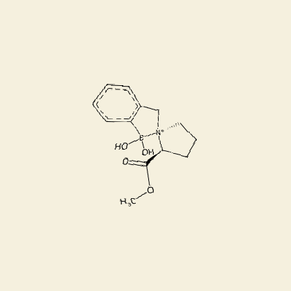 COC(=O)[C@@H]1CCC[N@+]12Cc1ccccc1[B-]2(O)O